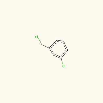 ClCc1[c]ccc(Cl)c1